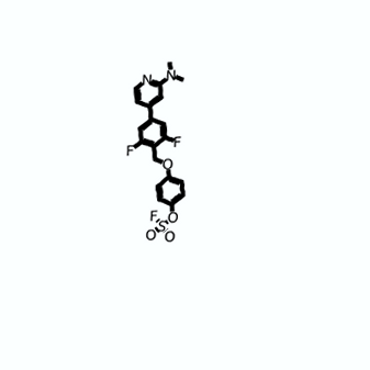 CN(C)c1cc(-c2cc(F)c(COc3ccc(OS(=O)(=O)F)cc3)c(F)c2)ccn1